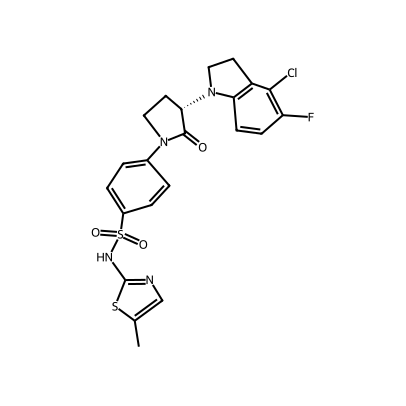 Cc1cnc(NS(=O)(=O)c2ccc(N3CC[C@H](N4CCc5c4ccc(F)c5Cl)C3=O)cc2)s1